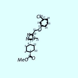 COC(=O)[C@H]1CC[C@H](c2nnc(COc3cccc(Cl)c3)n2C)CC1